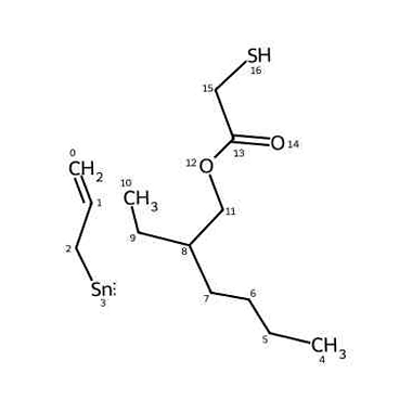 C=C[CH2][Sn].CCCCC(CC)COC(=O)CS